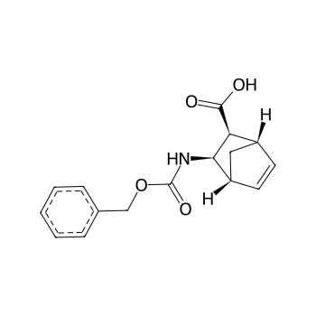 O=C(N[C@H]1[C@@H](C(=O)O)[C@@H]2C=C[C@H]1C2)OCc1ccccc1